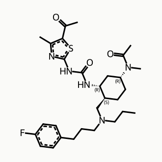 CCCN(CCCc1ccc(F)cc1)C[C@@H]1CC[C@@H](N(C)C(C)=O)C[C@H]1NC(=O)Nc1nc(C)c(C(C)=O)s1